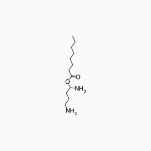 CCCCCCCC(=O)OC(N)CCCN